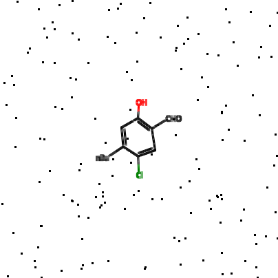 CCCCc1cc(O)c(C=O)cc1Cl